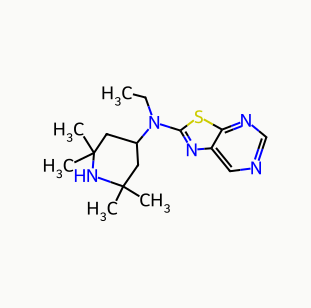 CCN(c1nc2cncnc2s1)C1CC(C)(C)NC(C)(C)C1